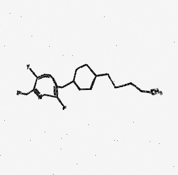 CCCCCC1CCC(c2cc(F)c(F)nc2F)CC1